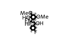 CCC(C)(Pc1ccc(F)cc1C(C)O)c1cc(OC)cc(OC)c1O